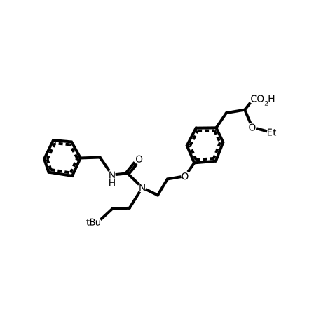 CCOC(Cc1ccc(OCCN(CCC(C)(C)C)C(=O)NCc2ccccc2)cc1)C(=O)O